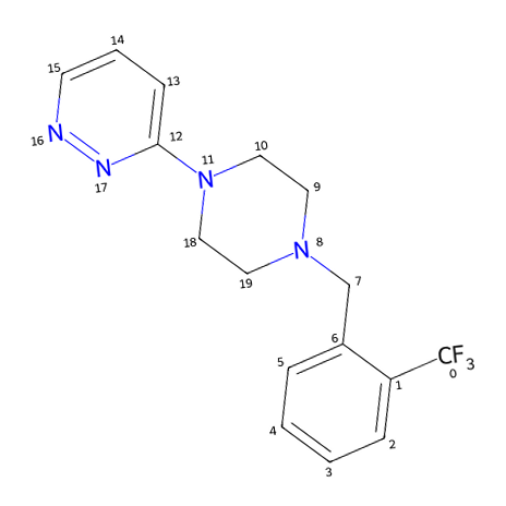 FC(F)(F)c1ccccc1CN1CCN(c2cccnn2)CC1